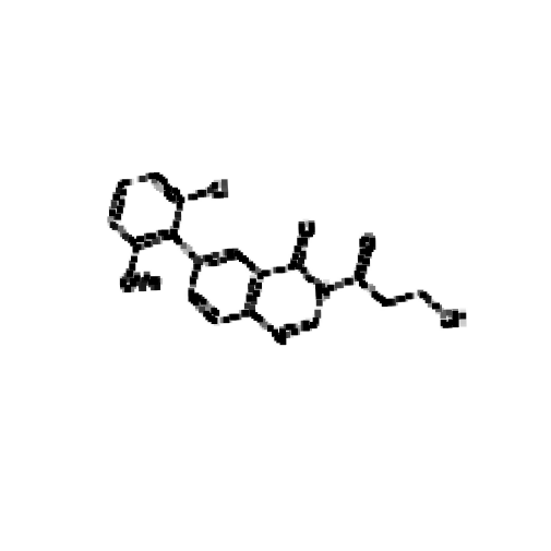 COc1cccc(Cl)c1-c1ccc2ncn(C(=O)CCO)c(=O)c2c1